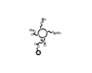 CCOP(=O)(CCC(=O)OCc1ccccc1)CN1CCN(CCOOC(C)(C)C)CCN(CCOOC(C)(C)C)CCN(CC(=O)OC(C)(C)C)CC1